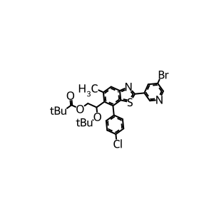 Cc1cc2nc(-c3cncc(Br)c3)sc2c(-c2ccc(Cl)cc2)c1C(COC(=O)C(C)(C)C)OC(C)(C)C